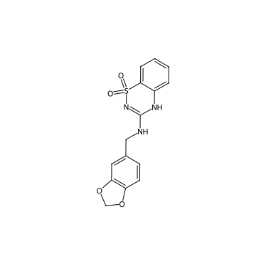 O=S1(=O)N=C(NCc2ccc3c(c2)OCO3)Nc2ccccc21